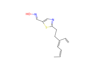 C=C/C(=C\C=C/C)CCc1ncc(/C=N/O)s1